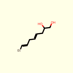 CCC=CCC=CCC(O)CO